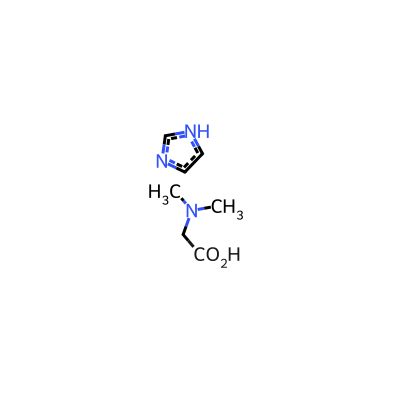 CN(C)CC(=O)O.c1c[nH]cn1